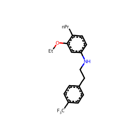 CCCc1ccc(NCCc2ccc(C(F)(F)F)cc2)cc1OCC